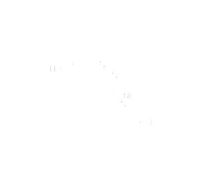 Cc1ccc(CN2CCN(CC(=O)N/N=C/c3cc(F)ccc3O)CC2)cc1